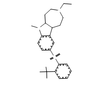 CCN1CCC2[C@@H](CC1)c1cc(S(=O)(=O)c3ccccc3C(F)(F)F)ccc1N2C